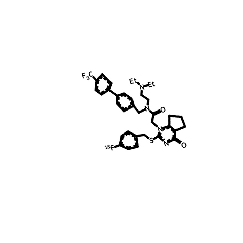 CCN(CC)CCN(Cc1ccc(-c2ccc(C(F)(F)F)cc2)cc1)C(=O)Cn1c(SCc2ccc([18F])cc2)nc(=O)c2c1CCC2